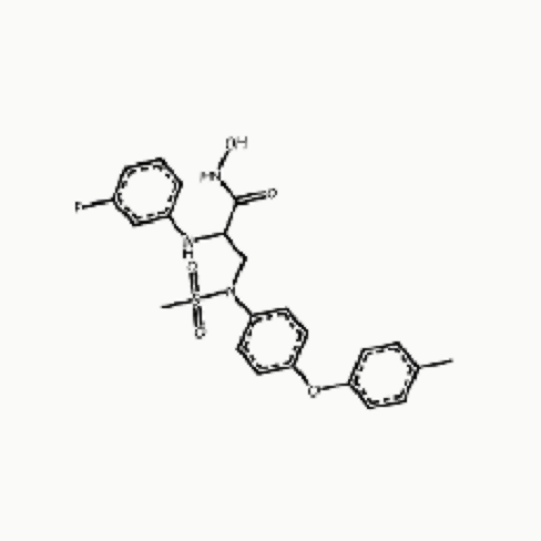 Cc1ccc(Oc2ccc(N(CC(Nc3cccc(F)c3)C(=O)NO)S(C)(=O)=O)cc2)cc1